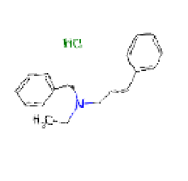 CCN(CC=Cc1ccccc1)Cc1ccccc1.Cl